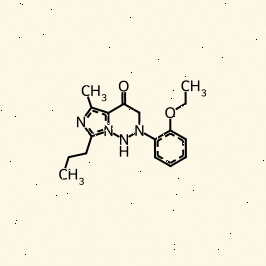 CCCc1nc(C)c2n1NN(c1ccccc1OCC)CC2=O